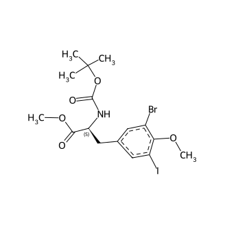 COC(=O)[C@H](Cc1cc(Br)c(OC)c(I)c1)NC(=O)OC(C)(C)C